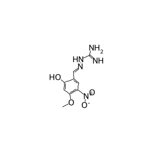 COc1cc(O)c(/C=N/NC(=N)N)cc1[N+](=O)[O-]